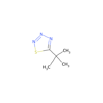 CC(C)(C)c1nnns1